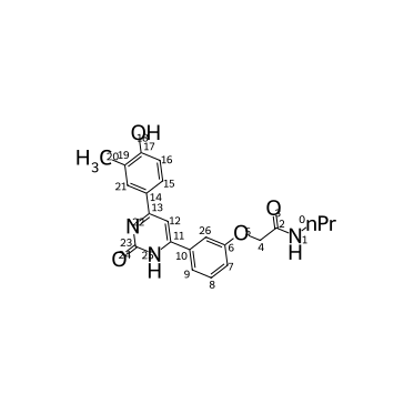 CCCNC(=O)COc1cccc(-c2cc(-c3ccc(O)c(C)c3)nc(=O)[nH]2)c1